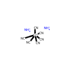 N#[C][Cr-2]([C]#N)([C]#N)([C]#N)([C]#N)[C]#N.[NH4+].[NH4+]